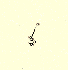 OCCCCCCCCCCc1cnn2ccc(N3CCC[C@@H]3c3cc(F)ccc3F)nc12